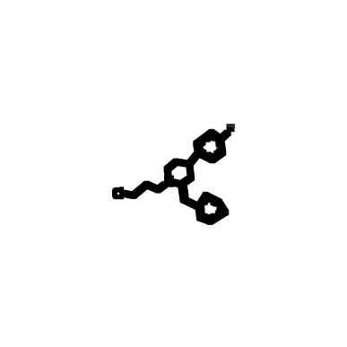 Fc1ccc(C2CCN(CCCCl)C(=Cc3ccccc3)C2)cc1